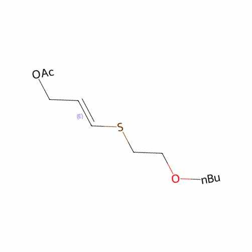 CCCCOCCS/C=C/COC(C)=O